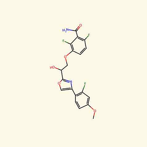 COc1ccc(-c2coc(C(O)COc3ccc(F)c(C(N)=O)c3F)n2)c(F)c1